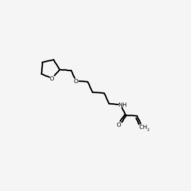 C=CC(=O)NCCCCOCC1CCCO1